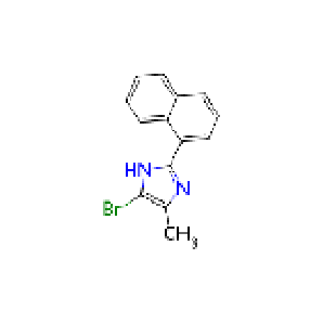 Cc1nc(-c2cccc3ccccc23)[nH]c1Br